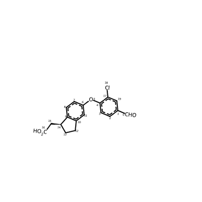 O=Cc1ccc(Oc2ccc3c(c2)CC[C@H]3CC(=O)O)c(Cl)c1